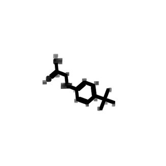 CC(C)(C)c1ccc(NCC(=O)O)cc1